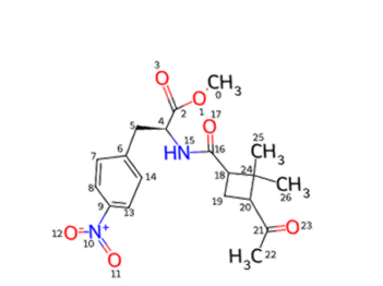 COC(=O)[C@H](Cc1ccc([N+](=O)[O-])cc1)NC(=O)C1CC(C(C)=O)C1(C)C